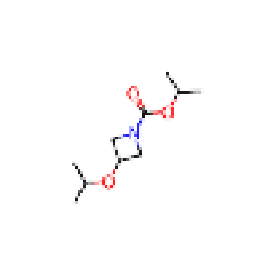 CC(C)OC(=O)N1CC(OC(C)C)C1